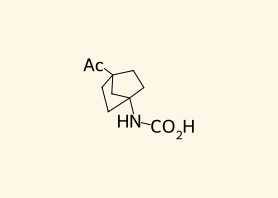 CC(=O)C12CCC(NC(=O)O)(CC1)C2